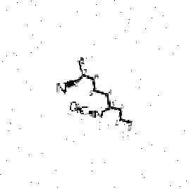 CCCC(CCCC(C)C#N)N=C=O